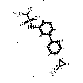 CC(C)S(=O)(=O)Nc1cccc(-c2ccc([C@@H]3C[C@H]3N)cn2)c1